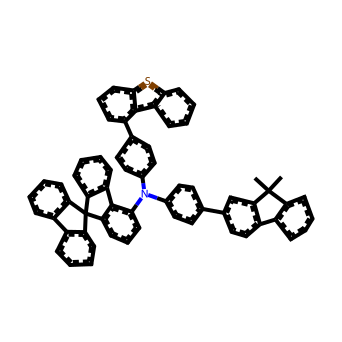 CC1(C)c2ccccc2-c2ccc(-c3ccc(N(c4ccc(-c5cccc6sc7ccccc7c56)cc4)c4cccc5c4-c4ccccc4C54c5ccccc5-c5ccccc54)cc3)cc21